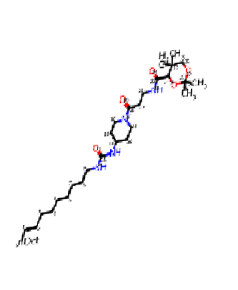 CCCCCCCCC=CCCCCCCCNC(=O)NC1CCN(C(=O)CCNC(=O)C2OC(C)(C)OCC2(C)C)CC1